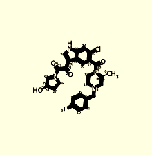 C[C@@H]1CN(Cc2ccc(F)cc2)CCN1C(=O)c1cc2c(C(=O)C(=O)N3CC[C@H](O)C3)c[nH]c2cc1Cl